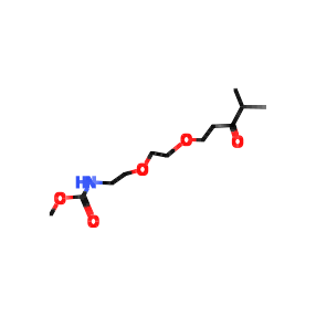 COC(=O)NCCOCCOCCC(=O)C(C)C